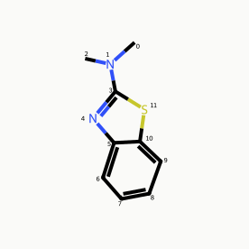 CN(C)c1nc2c[c]ccc2s1